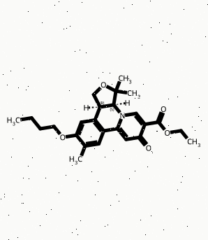 CCCCOc1cc2c(cc1C)-c1cc(=O)c(C(=O)OCC)cn1[C@H]1[C@@H]2COC1(C)C